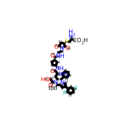 CC(C)(C)[C@H](c1cc(-c2cc(F)ccc2F)cn1Cc1ccccc1)N(CC[C@H](N)C(=O)N[C@H]1CC[C@@H](C(=O)NCCN2C(=O)CC(SCC(N)C(=O)O)C2=O)C1)C(=O)CO